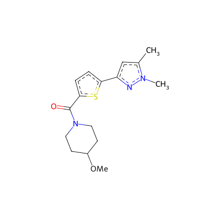 COC1CCN(C(=O)c2ccc(-c3cc(C)n(C)n3)s2)CC1